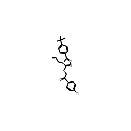 C=CCn1c(SCC(=O)c2ccc(Cl)cc2)nnc1-c1ccc(C(C)(C)C)cc1